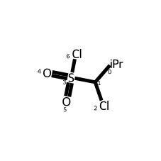 CC(C)C(Cl)S(=O)(=O)Cl